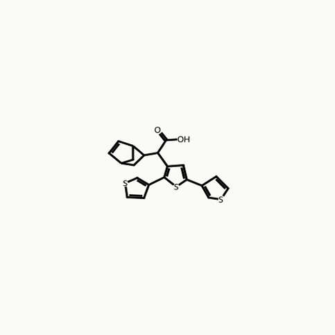 O=C(O)C(c1cc(-c2ccsc2)sc1-c1ccsc1)C1CC2C=CC1C2